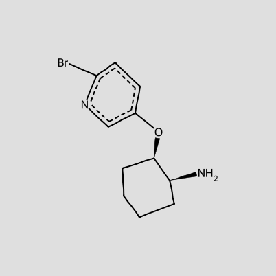 N[C@H]1CCCC[C@H]1Oc1ccc(Br)nc1